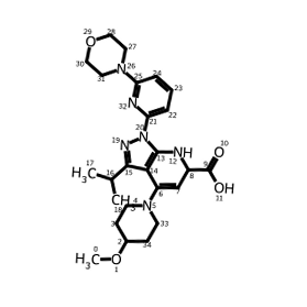 COC1CCN(C2=CC(C(=O)O)Nc3c2c(C(C)C)nn3-c2cccc(N3CCOCC3)n2)CC1